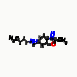 CCCCNCc1ccc(NC(C)=O)cc1